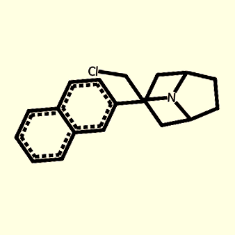 ClCCN1C2CCC1CC(c1ccc3ccccc3c1)C2